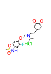 COc1ccc(CCN(CCOc2ccc(NS(C)(=O)=O)cc2F)C(C)C)cc1OC.Cl